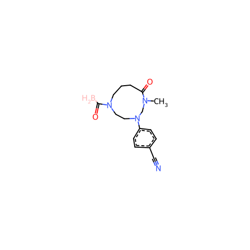 BC(=O)N1CCCC(=O)N(C)CN(c2ccc(C#N)cc2)CC1